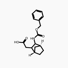 O=C(O)CC1C(NC(=O)OCc2ccccc2)[C@H]2CC[C@H]1C2